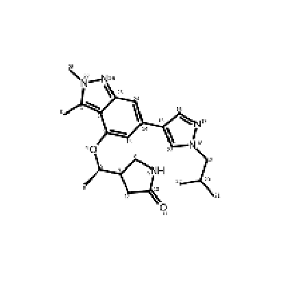 Cc1c2c(O[C@H](C)C3CNC(=O)C3)cc(-c3cnn(CC(C)C)c3)cc2nn1C